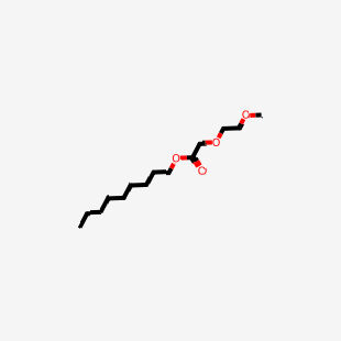 CCCCCCCCCOC(=O)COCCOC